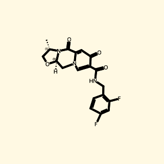 C[C@H]1CO[C@@H]2Cn3cc(C(=O)NCc4ccc(F)cc4F)c(=O)cc3C(=O)N12